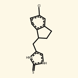 S=c1[nH]cc(CC2CCc3cc(Cl)ccc32)[nH]1